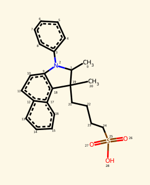 CC1N(c2ccccc2)c2ccc3ccccc3c2C1(C)CCCCS(=O)(=O)O